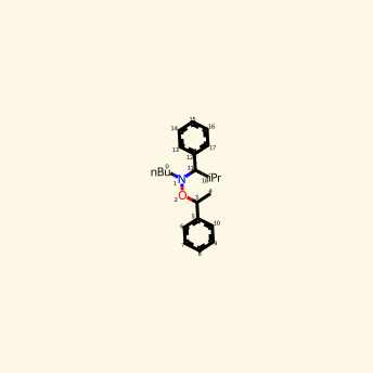 CCCCN(OC(C)c1ccccc1)C(c1ccccc1)C(C)C